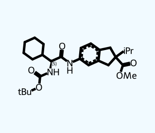 COC(=O)C1(C(C)C)Cc2ccc(NC(=O)[C@@H](NC(=O)OC(C)(C)C)C3CCCCC3)cc2C1